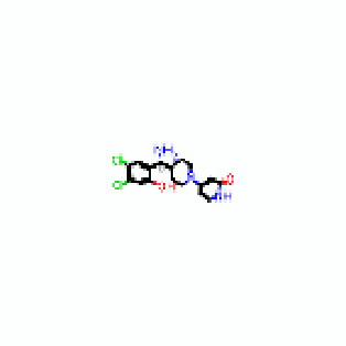 N[C@@H](c1cc(Cl)c(Cl)cc1O)C1CCN(c2cc[nH]c(=O)c2)CC1